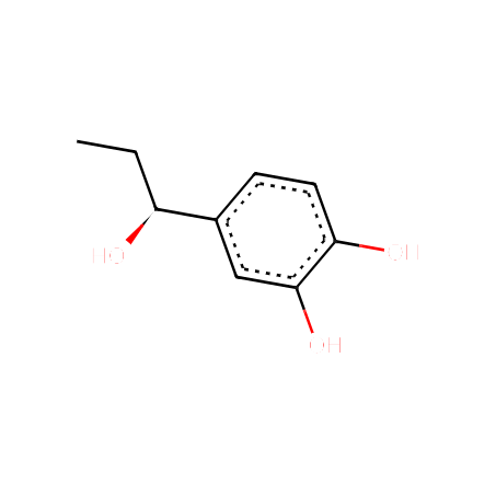 CC[C@H](O)c1ccc(O)c(O)c1